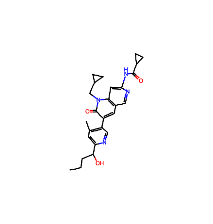 CCCC(O)c1cc(C)c(-c2cc3cnc(NC(=O)C4CC4)cc3n(CC3CC3)c2=O)cn1